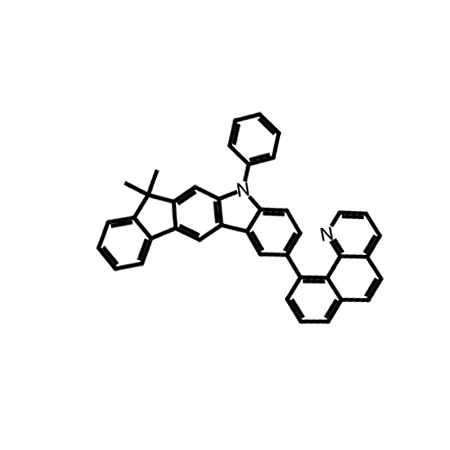 CC1(C)c2ccccc2-c2cc3c4cc(-c5cccc6ccc7cccnc7c56)ccc4n(-c4ccccc4)c3cc21